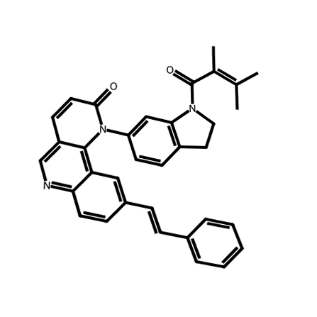 CC(C)=C(C)C(=O)N1CCc2ccc(-n3c(=O)ccc4cnc5ccc(/C=C/c6ccccc6)cc5c43)cc21